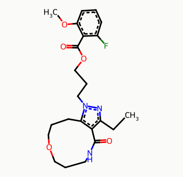 CCc1nn(CCCOC(=O)c2c(F)cccc2OC)c2c1C(=O)NCCCOCCC2